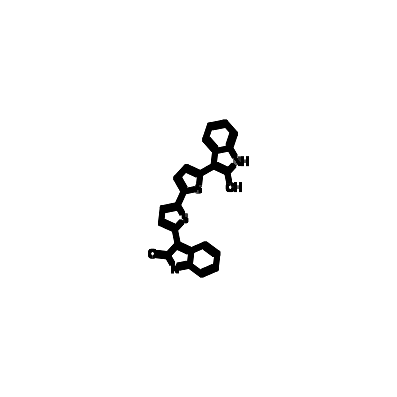 O=C1N=c2ccccc2=C1c1ccc(-c2ccc(-c3c(O)[nH]c4ccccc34)s2)s1